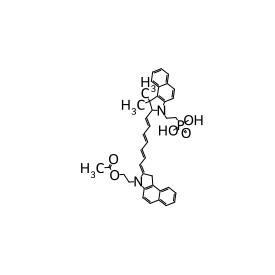 CC(=O)OCCN1/C(=C/C=C/C=C/C=C/C2N(CCP(=O)(O)O)c3ccc4ccccc4c3C2(C)C)Cc2c1ccc1ccccc21